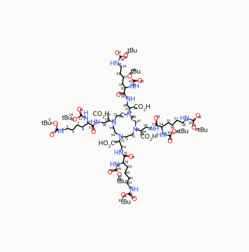 CC(C)(C)OC(=O)NCCCCC(NC(=O)OC(C)(C)C)C(=O)NCC(C(=O)O)N1CCN(C(CNC(=O)C(CCCCNC(=O)OC(C)(C)C)NC(=O)OC(C)(C)C)C(=O)O)CCN(C(CNC(=O)C(CCCCNC(=O)OC(C)(C)C)NC(=O)OC(C)(C)C)C(=O)O)CCN(C(CNC(=O)C(CCCCNC(=O)OC(C)(C)C)NC(=O)OC(C)(C)C)C(=O)O)CC1